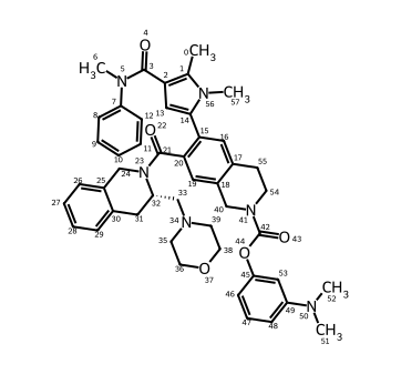 Cc1c(C(=O)N(C)c2ccccc2)cc(-c2cc3c(cc2C(=O)N2Cc4ccccc4C[C@H]2CN2CCOCC2)CN(C(=O)Oc2cccc(N(C)C)c2)CC3)n1C